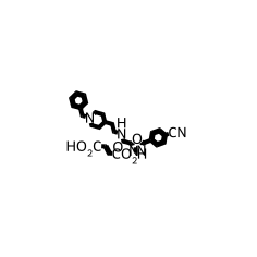 N#Cc1ccc(-c2nnc(C(=O)NCCC3CCN(Cc4ccccc4)CC3)o2)cc1.O=C(O)/C=C/C(=O)O